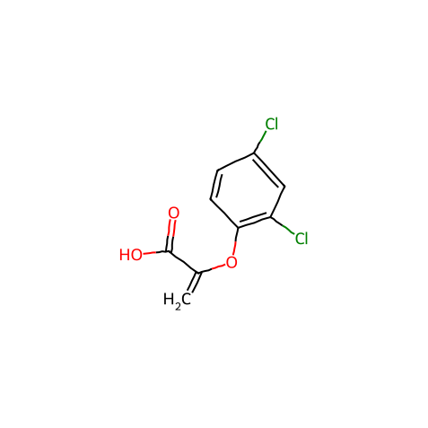 C=C(Oc1ccc(Cl)cc1Cl)C(=O)O